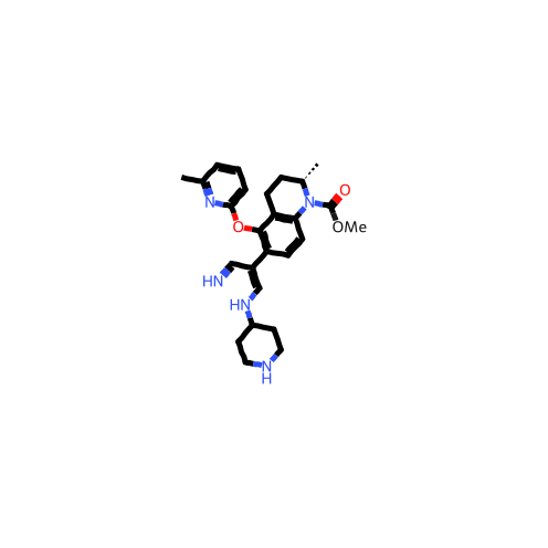 COC(=O)N1c2ccc(/C(C=N)=C/NC3CCNCC3)c(Oc3cccc(C)n3)c2CC[C@@H]1C